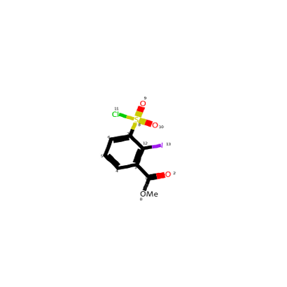 COC(=O)c1cccc(S(=O)(=O)Cl)c1I